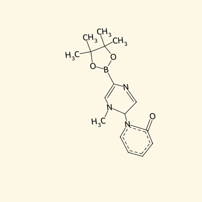 CN1C=C(B2OC(C)(C)C(C)(C)O2)N=CC1n1ccccc1=O